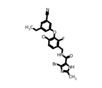 CCc1cc(C#N)cc(Oc2c(Cl)ccc(CNC(=O)c3[nH]c(C)nc3Br)c2F)c1